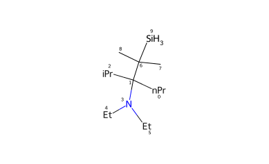 CCCC(C(C)C)(N(CC)CC)C(C)(C)[SiH3]